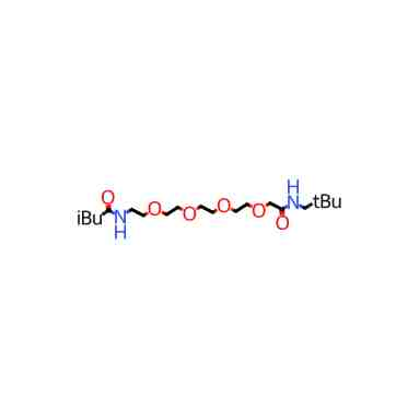 CCC(C)C(=O)NCCOCCOCCOCCOCC(=O)NCC(C)(C)C